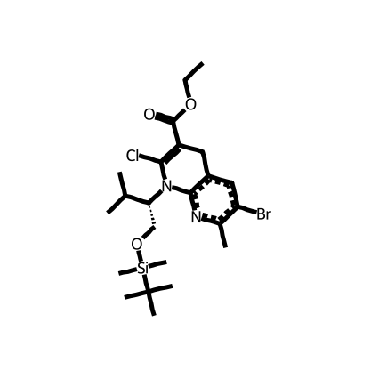 CCOC(=O)C1=C(Cl)N([C@H](CO[Si](C)(C)C(C)(C)C)C(C)C)c2nc(C)c(Br)cc2C1